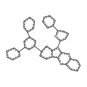 c1ccc(-c2cc(-c3ccccc3)cc(-c3ccc4c5nc6ccccc6nc5n(-c5cccc(-c6ccccc6)n5)c4c3)c2)cc1